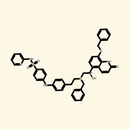 O=c1ccc2c([C@@H](O)CN(CCc3ccc(Nc4ccc(S(=O)(=O)Nc5ccccn5)cc4)cc3)Cc3ccccc3)ccc(OCc3ccccc3)c2[nH]1